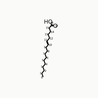 CCCCCCCCCCC=CCCCCC(=O)O